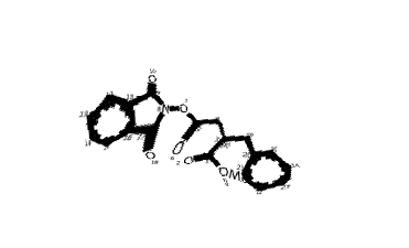 COC(=O)[C@@H](CC(=O)ON1C(=O)c2ccccc2C1=O)Cc1ccccc1